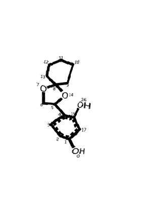 Oc1ccc(C2COC3(CCCCC3)O2)c(O)c1